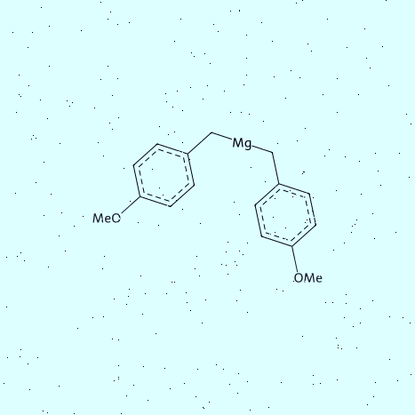 COc1ccc([CH2][Mg][CH2]c2ccc(OC)cc2)cc1